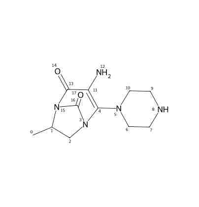 CC1Cn2c(N3CCNCC3)c(N)c(=O)n1c2=O